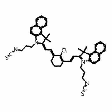 CC1(C)C(/C=C/C2=C(Cl)C(=C/C=C3/N(CCCN=C=S)c4ccc5ccccc5c4C3(C)C)/CCC2)=[N+](CCCN=C=S)c2ccc3ccccc3c21